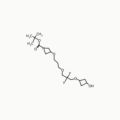 CC(C)(C)OC(=O)N1CC(OCCCOCC(F)(F)COC2CC(O)C2)C1